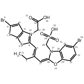 CCC(=Cc1sc2sc(Br)cc2[n+]1CC(=O)O)C=C1Oc2ccc(Br)cc2N1CS(=O)(=O)O